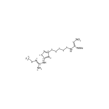 CNC(=C[N+](=O)[O-])NCCCCCc1csc(NC(N)=NCC(F)(F)F)n1